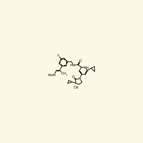 CN/C=C(\C)c1cc(F)cc(CNC(=O)C2C=C(N3CC[C@@](C#N)(C4CC4)C3=O)C=C(C3CC3)N2)c1